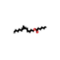 CCCCCC(=O)OCC/C=C\CC1CC1CCCCC